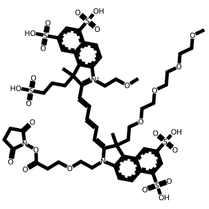 COCCOCCOCCOCCC1(C)\C(=C/C=C/C=C/C2=[N+](CCOC)c3ccc4c(S(=O)(=O)O)cc(S(=O)(=O)O)cc4c3C2(C)CCCS(=O)(=O)O)N(CCOCCC(=O)ON2C(=O)CCC2=O)c2ccc3c(S(=O)(=O)O)cc(S(=O)(=O)O)cc3c21